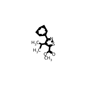 COC(=O)c1snc(-c2ccccc2)c1C(C)C